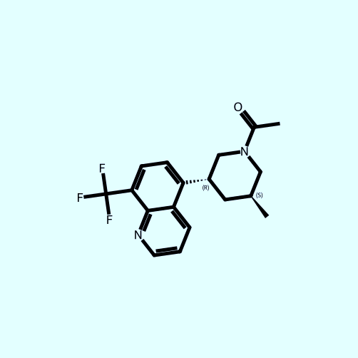 CC(=O)N1C[C@@H](C)C[C@H](c2ccc(C(F)(F)F)c3ncccc23)C1